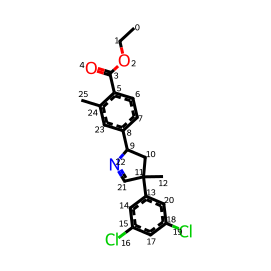 CCOC(=O)c1ccc(C2CC(C)(c3cc(Cl)cc(Cl)c3)C=N2)cc1C